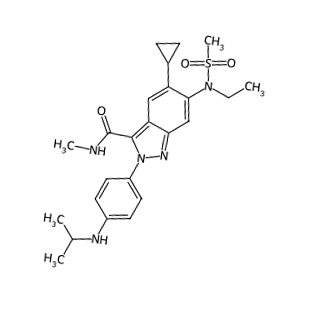 CCN(c1cc2nn(-c3ccc(NC(C)C)cc3)c(C(=O)NC)c2cc1C1CC1)S(C)(=O)=O